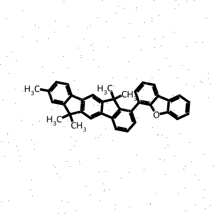 Cc1ccc2c(c1)C(C)(C)c1cc3c(cc1-2)C(C)(C)c1c-3cccc1-c1cccc2c1oc1ccccc12